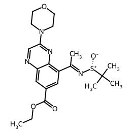 CCOC(=O)c1cc(/C(C)=N/[S@+]([O-])C(C)(C)C)c2nc(N3CCOCC3)cnc2c1